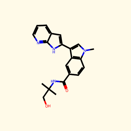 Cn1cc(-c2cc3cccnc3[nH]2)c2cc(C(=O)NC(C)(C)CO)ccc21